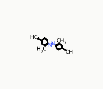 C#Cc1ccc(/N=N/c2ccc(C#C)cc2C)c(C)c1